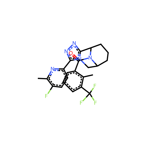 Cc1nc(-c2nnc3n2CC2CCCC3N2C(=O)c2cccc(C(F)(F)F)c2C)ccc1F